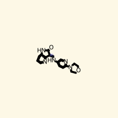 O=C1Nc2cccnc2/C1=C\Nc1ccc(N2CCOCC2)nc1